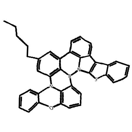 CCCCCc1cc2c3c(c1)N1c4ccccc4Oc4cccc(c41)B3n1c3sc4ccccc4c3c3cccc-2c31